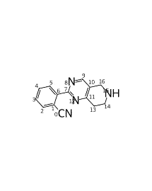 N#Cc1ccccc1-c1ncc2c(n1)CCNC2